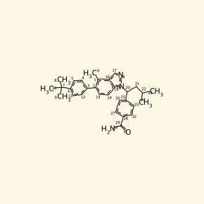 Cc1c(-c2ccc(C(C)(C)C)cc2)ccc2c1cnn2C(CC(C)C)c1ccc(C(N)=O)cc1